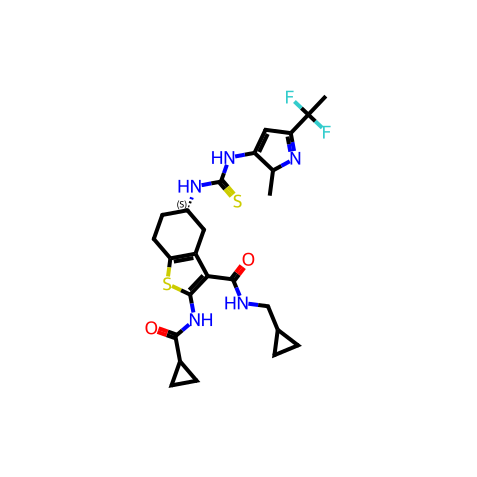 CC1N=C(C(C)(F)F)C=C1NC(=S)N[C@H]1CCc2sc(NC(=O)C3CC3)c(C(=O)NCC3CC3)c2C1